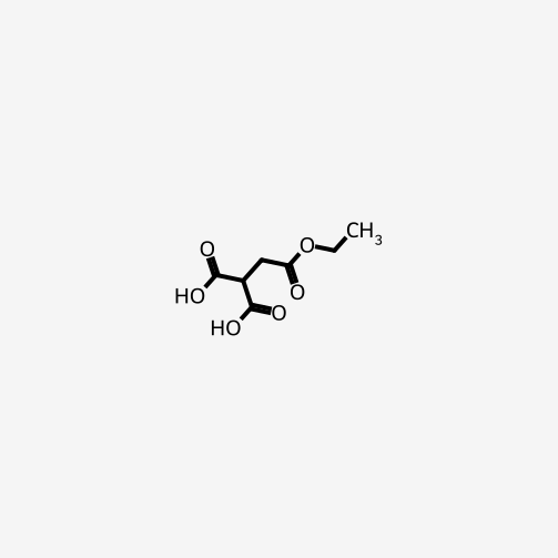 CCOC(=O)CC(C(=O)O)C(=O)O